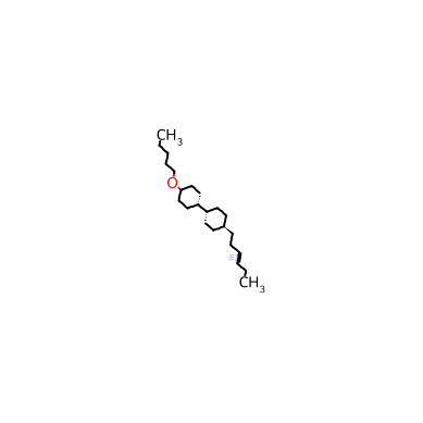 CC/C=C/CC[C@H]1CC[C@H]([C@H]2CC[C@H](OCCCCC)CC2)CC1